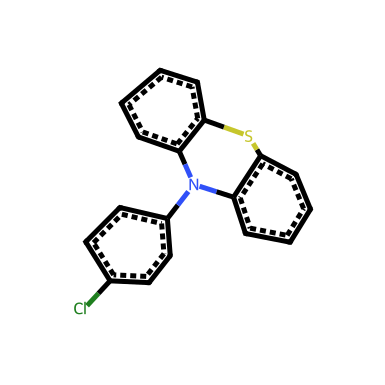 Clc1ccc(N2c3ccccc3Sc3ccccc32)cc1